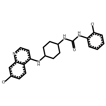 O=C(Nc1ccccc1Cl)NC1CCC(Nc2ccnc3cc(Cl)ccc23)CC1